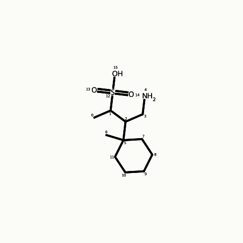 CC(C(CN)C1(C)CCCCC1)S(=O)(=O)O